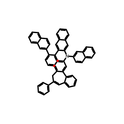 C1=C(c2ccccc2)Cc2ccc(N(c3ccc4ccccc4c3)c3cc4ccccc4cc3-c3ccccc3-c3ccc4ccccc4c3)cc2-c2ccccc21